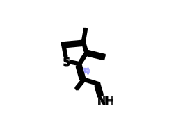 C=c1c(C)cs/c1=C(\C)C=N